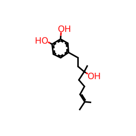 CC(C)=CCCC(C)(O)CCc1ccc(O)c(O)c1